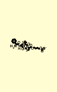 CC1(C)SC2C(NC(=O)[C@@H](N)c3ccccc3)C(=O)N2C1C(=O)N1C(=O)SCC1C(=O)OCCCCO[N+](=O)[O-]